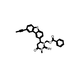 CC#Cc1ccc2sc3ccc(C4CC(=O)N(C)C(=N)N4COC(=O)c4ccccc4)cc3c2c1